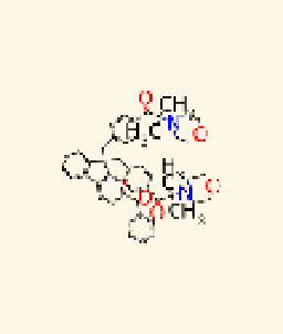 CC(C)(C(=O)c1ccc(CC2(Cc3ccc(C(=O)C(C)(C)N4CCOCC4)cc3)c3ccccc3-c3ccc(C(=O)c4ccccc4)cc32)cc1)N1CCOCC1